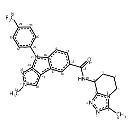 Cc1nnc2n1CCCC2NC(=O)c1ccc2c(c1)c1cn(C)nc1n2-c1ccc(C(F)(F)F)cc1